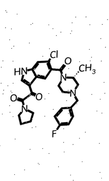 C[C@@H]1CN(Cc2ccc(F)cc2)CCN1C(=O)c1cc2c(C(=O)C(=O)N3CCCC3)c[nH]c2cc1Cl